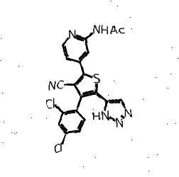 CC(=O)Nc1cc(-c2sc(-c3cnn[nH]3)c(-c3ccc(Cl)cc3Cl)c2C#N)ccn1